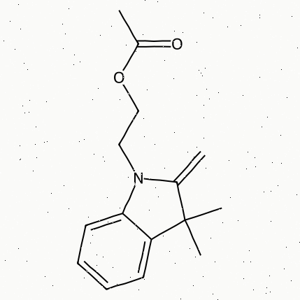 C=C1N(CCOC(C)=O)c2ccccc2C1(C)C